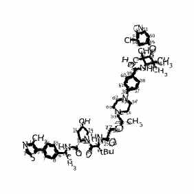 Cc1ncsc1-c1ccc([C@H](C)NC(=O)[C@@H]2C[C@@H](O)CN2C(=O)[C@@H](NC(=O)CO[C@@H](C)CN2CCN(c3ccc(C(=O)N[C@H]4C(C)(C)[C@H](Oc5ccc(C#N)c(Cl)c5)C4(C)C)cc3)CC2)C(C)(C)C)cc1